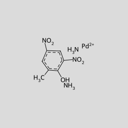 Cc1cc([N+](=O)[O-])cc([N+](=O)[O-])c1O.N.N.[Pd+2]